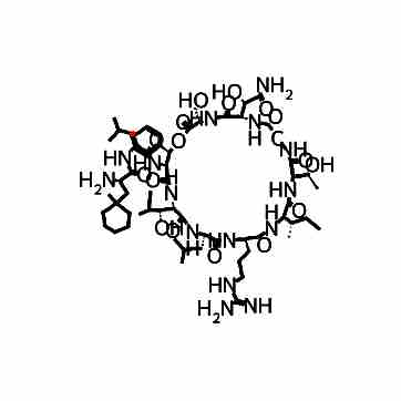 CC[C@H](C)C1NC(=O)[C@@H](CCCNC(=N)N)NC(=O)[C@H](CC(C)C)NC(=O)[C@H]([C@H](O)C(C)C)NC(=O)[C@@H](NC(=O)[C@H](CC(C)C)NC(=O)[C@H](N)CC2(C)CCCCC2)[C@@H](c2ccccc2)OC(=O)[C@H](CO)NC(=O)[C@H]([C@H](O)C(N)=O)NC(=O)CNC(=O)C([C@H](C)O)NC1=O